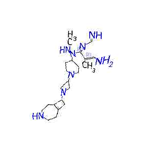 CNN(C(=N/C=N)/C(C)=C/N)C1CCN(C2CN(C3CC4CCNCCC43)C2)CC1